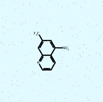 O=[N+]([O-])c1cc(C(F)(F)F)cc2ncccc12